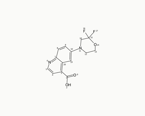 O=C(O)c1ccnc2ccc(N3CCOC(F)(F)C3)cc12